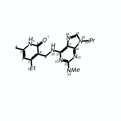 CCc1cc(C)[nH]c(=O)c1CNc1nc(NC)nc2c1ncn2C(C)C